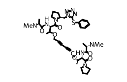 CN[C@@H](C)C(=O)N[C@H](C(=O)N1CCC[C@H]1Cn1nnnc1Sc1ccccc1)C(C)OCC#CC#CCO[C@H](C)[C@H](NC(=O)[C@H](C)NC)C(=O)N1CCCC1